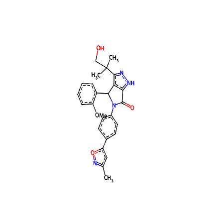 COc1ccccc1C1c2c(C(C)(C)CO)n[nH]c2C(=O)N1c1ccc(-c2cc(C)no2)cc1